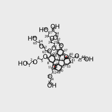 OCCOCCOc1cc(OCCOCCO)c(C2(c3cc(OCCOCCO)c(OCCOCCO)cc3OCCOCCO)c3ccccc3-c3ccccc32)cc1OCCOCCO